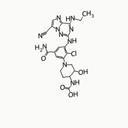 CCNc1nc(Nc2cc(C(N)=O)cc(N3CCC(NC(=O)O)C(O)C3)c2Cl)nn2c(C#N)cnc12